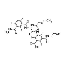 CCOCC(=O)NC(NC(=O)c1c(I)cc(I)c(C(=O)NC)c1I)C(=O)Nc1c(I)c(C(=O)O)c(I)c(C(=O)NCCO)c1I